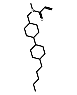 C=CC(=O)N(C)CC1CCC(C2CCC(CCCCC)CC2)CC1